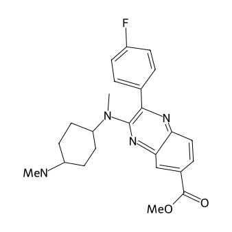 CNC1CCC(N(C)c2nc3cc(C(=O)OC)ccc3nc2-c2ccc(F)cc2)CC1